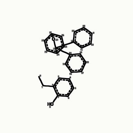 CCc1ccccc1O.c1ccc(C2(c3ccccc3)Oc3ccc2cc3)cc1